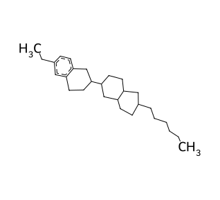 CCCCCCC1CCC2CC(C3CCc4cc(CC)ccc4C3)CCC2C1